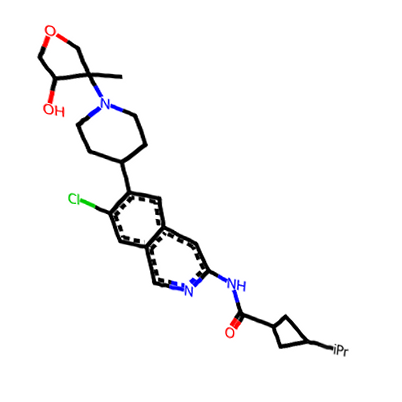 CC(C)C1CC(C(=O)Nc2cc3cc(C4CCN(C5(C)COCC5O)CC4)c(Cl)cc3cn2)C1